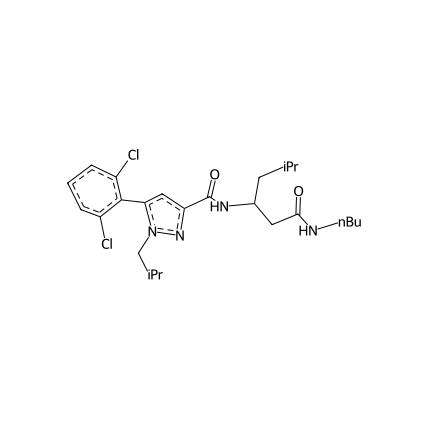 CCCCNC(=O)CC(CC(C)C)NC(=O)c1cc(-c2c(Cl)cccc2Cl)n(CC(C)C)n1